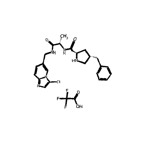 C[C@H](NC(=O)[C@H]1C[C@H](Cc2ccccc2)CN1)C(=O)NCc1ccc2ncc(Cl)n2c1.O=C(O)C(F)(F)F